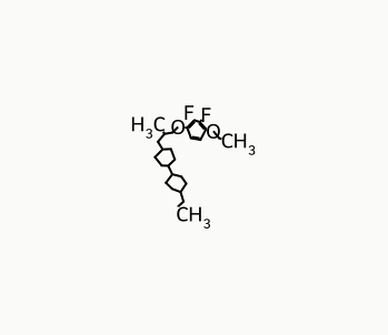 CCCC1CCC(C2CCC(CC(C)COc3ccc(OCC)c(F)c3F)CC2)CC1